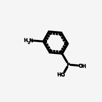 Nc1cccc(P(O)O)c1